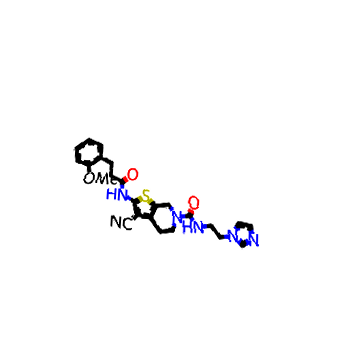 COc1ccccc1CCC(=O)Nc1sc2c(c1C#N)CCN(C(=O)NCCn1ccnc1)C2